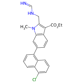 CCOC(=O)c1c(CNC=N)n(C)c2cc(-c3cccc4c(Cl)cccc34)ccc12